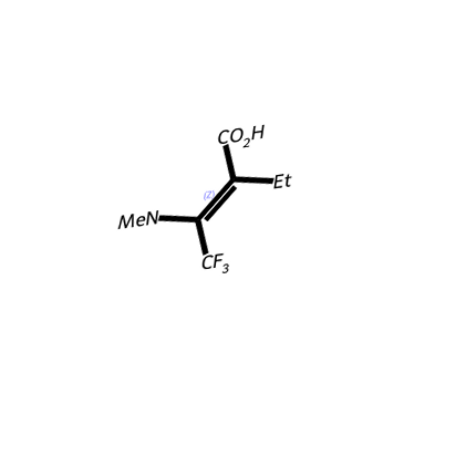 CC/C(C(=O)O)=C(/NC)C(F)(F)F